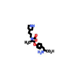 CC1C(Oc2ccc(CC(N)C(=O)O)cc2)OC(=O)N1CCCC1CCNCC1